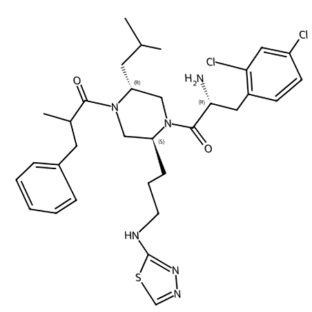 CC(C)C[C@@H]1CN(C(=O)[C@H](N)Cc2ccc(Cl)cc2Cl)[C@@H](CCCNc2nncs2)CN1C(=O)C(C)Cc1ccccc1